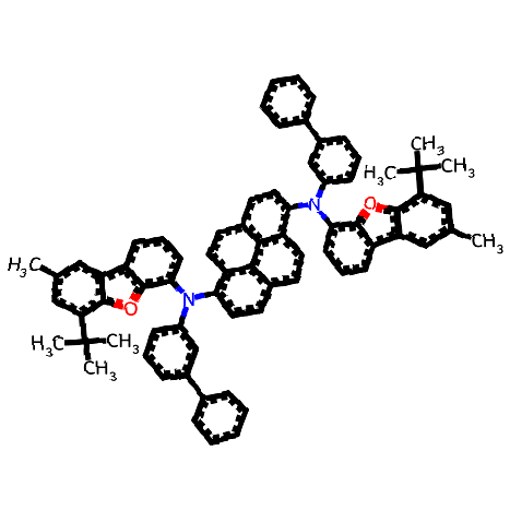 Cc1cc(C(C)(C)C)c2oc3c(N(c4cccc(-c5ccccc5)c4)c4ccc5ccc6c(N(c7cccc(-c8ccccc8)c7)c7cccc8c7oc7c(C(C)(C)C)cc(C)cc78)ccc7ccc4c5c76)cccc3c2c1